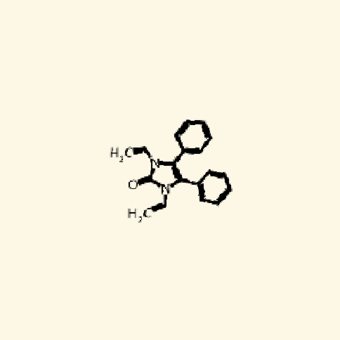 C=Cn1c(-c2ccccc2)c(-c2ccccc2)n(C=C)c1=O